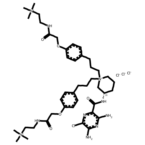 C[N+](C)(C)CCNC(=O)COc1ccc(CCC[N+]2(CCCc3ccc(OCC(=O)NCC[N+](C)(C)C)cc3)CCC[C@H](NC(=O)c3nc(Cl)c(N)nc3N)C2)cc1.[Cl-].[Cl-].[Cl-]